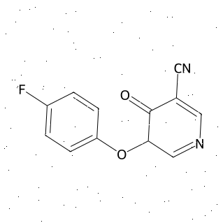 N#CC1=CN=CC(Oc2ccc(F)cc2)C1=O